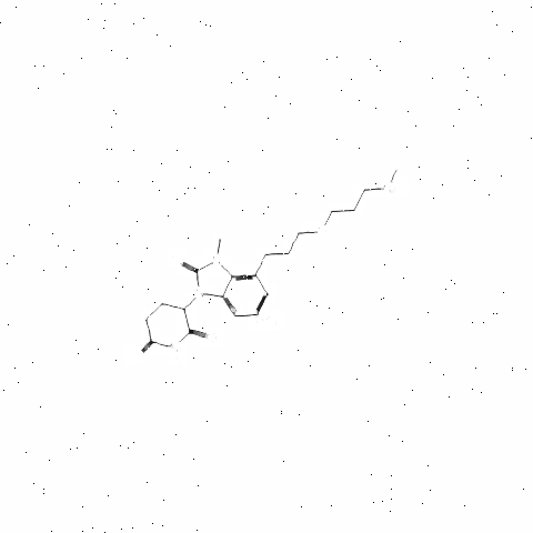 CNCCCOCCCc1cccc2c1n(C)c(=O)n2C1CCC(=O)NC1=O.Cl